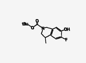 CC1CN(C(=O)OC(C)(C)C)Cc2cc(O)c(F)cc21